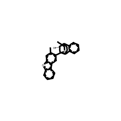 Cc1cc2oc3ccccc3c2cc1N1[C@@H](C)C23CCC1(CC2)c1ccccc13